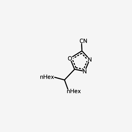 CCCCCCC(CCCCCC)c1nnc(C#N)o1